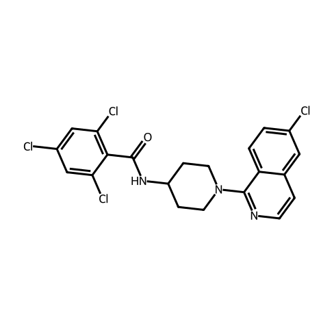 O=C(NC1CCN(c2nccc3cc(Cl)ccc23)CC1)c1c(Cl)cc(Cl)cc1Cl